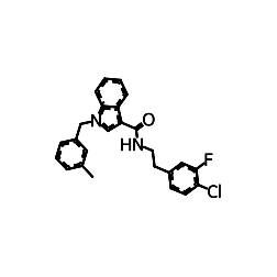 Cc1cccc(Cn2cc(C(=O)NCCc3ccc(Cl)c(F)c3)c3ccccc32)c1